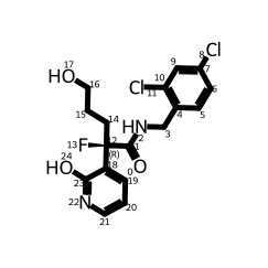 O=C(NCc1ccc(Cl)cc1Cl)[C@@](F)(CCCO)c1cccnc1O